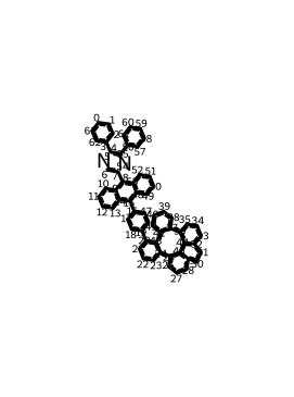 c1ccc(-c2ncc(-c3c4ccccc4c(-c4ccc(-c5cccc6c7cccc8ccc9cccc(c%10ccccc%10c56)c9c87)cc4)c4ccccc34)nc2-c2ccccc2)cc1